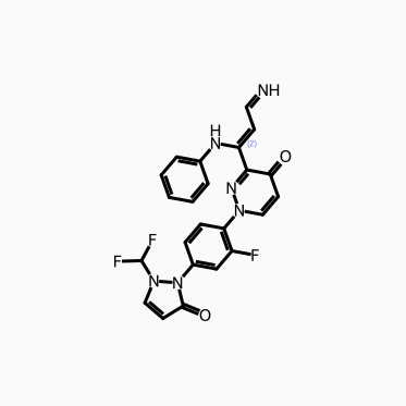 N=C/C=C(\Nc1ccccc1)c1nn(-c2ccc(-n3c(=O)ccn3C(F)F)cc2F)ccc1=O